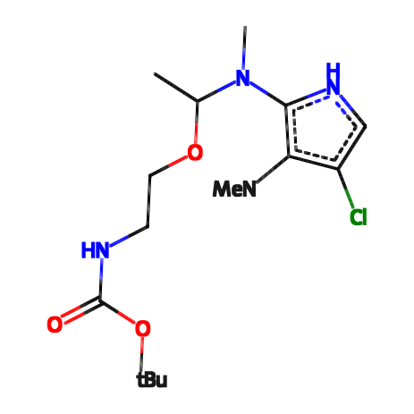 CNc1c(Cl)c[nH]c1N(C)C(C)OCCNC(=O)OC(C)(C)C